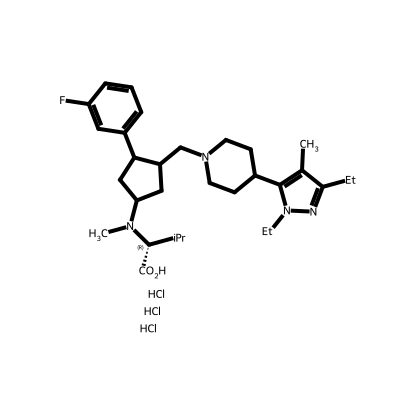 CCc1nn(CC)c(C2CCN(CC3CC(N(C)[C@@H](C(=O)O)C(C)C)CC3c3cccc(F)c3)CC2)c1C.Cl.Cl.Cl